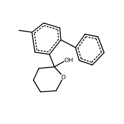 Cc1ccc(-c2ccccc2)c(C2(O)CCCCO2)c1